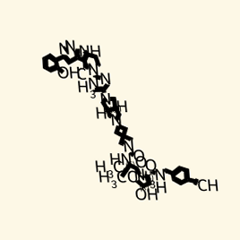 C#Cc1ccc(CNC(=O)[C@@H]2C[C@@H](O)CN2C(=O)[C@@H](NC(=O)N2CC3(CC(N4C[C@H]5CN(c6cnc(N7CCc8[nH]c9nnc(-c%10ccccc%10O)cc9c8[C@@H]7C)nc6)C[C@H]5C4)C3)C2)C(C)(C)C)cc1